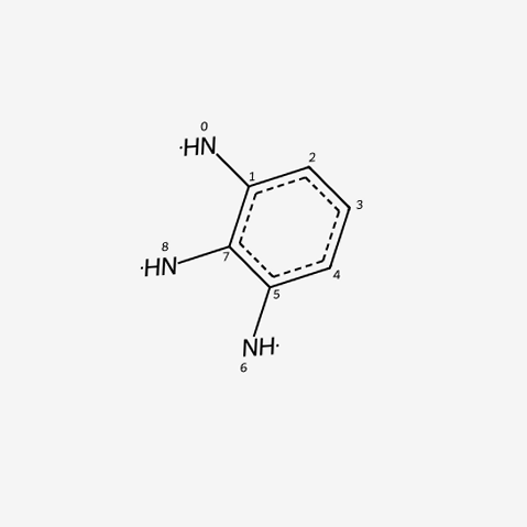 [NH]c1cccc([NH])c1[NH]